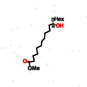 CCCCCC[C@H](O)CCCCCCCCCCC(=O)OC